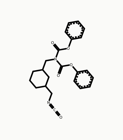 O=C=NCC1CCCC(CN(C(=O)Oc2ccccc2)C(=O)Oc2ccccc2)C1